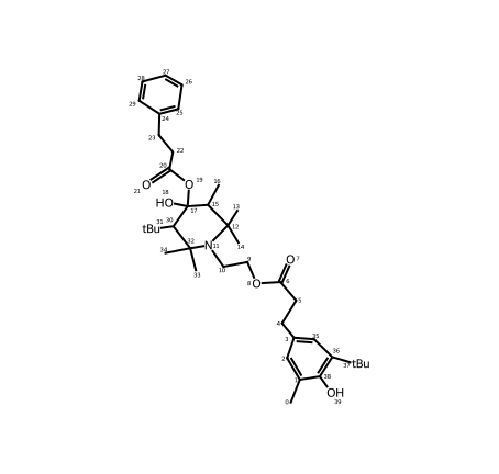 Cc1cc(CCC(=O)OCCN2C(C)(C)C(C)C(O)(OC(=O)CCc3ccccc3)C(C(C)(C)C)C2(C)C)cc(C(C)(C)C)c1O